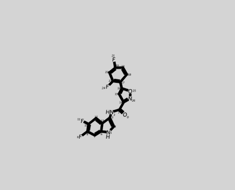 O=C(Nc1c[nH]c2cc(F)c(F)cc12)c1cc(-c2ccc(F)cc2F)on1